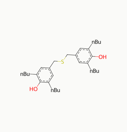 CCCCc1cc(CSCc2cc(CCCC)c(O)c(CCCC)c2)cc(CCCC)c1O